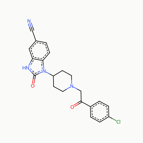 N#Cc1ccc2c(c1)[nH]c(=O)n2C1CCN(CC(=O)c2ccc(Cl)cc2)CC1